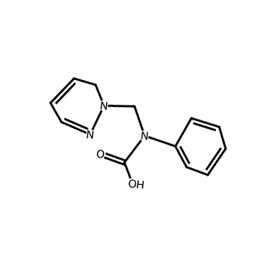 O=C(O)N(CN1CC=CC=N1)c1ccccc1